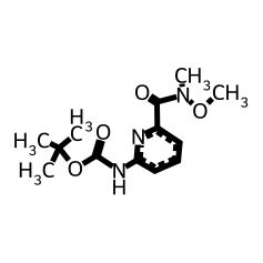 CON(C)C(=O)c1cccc(NC(=O)OC(C)(C)C)n1